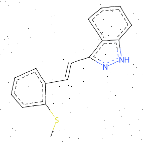 CSc1ccccc1C=Cc1n[nH]c2ccccc12